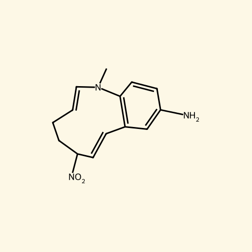 CN1/C=C/CCC([N+](=O)[O-])/C=C/c2cc(N)ccc21